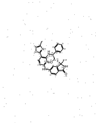 Cc1noc(-c2cnc(Nc3ccc4c(c3)C(F)(F)NC4=O)nc2N[C@H](CO)c2ccccc2)n1